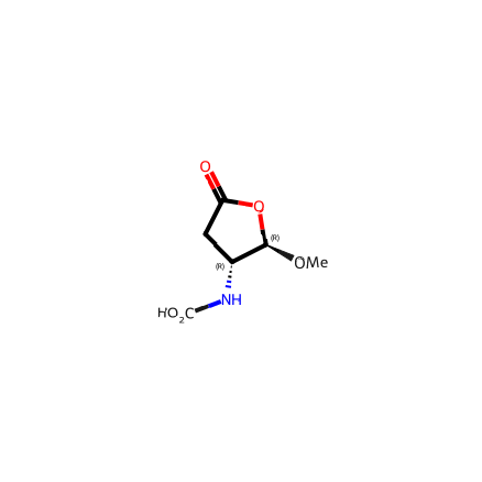 CO[C@@H]1OC(=O)C[C@H]1NC(=O)O